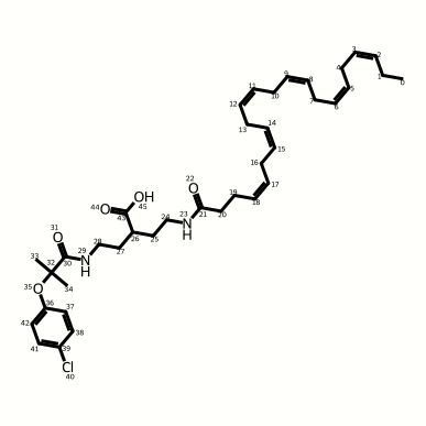 CC/C=C\C/C=C\C/C=C\C/C=C\C/C=C\C/C=C\CCC(=O)NCCC(CCNC(=O)C(C)(C)Oc1ccc(Cl)cc1)C(=O)O